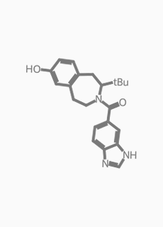 CC(C)(C)C1Cc2ccc(O)cc2CCN1C(=O)c1ccc2nc[nH]c2c1